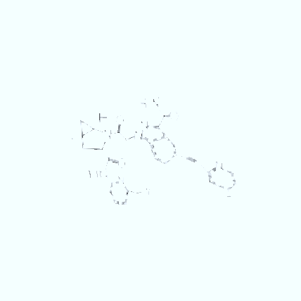 NC(=O)c1nn(CC(=O)N2[C@@H]3C[C@@H]3C[C@H]2C(=O)Nc2cccc(Br)n2)c2ccc(C#Cc3cc(F)ccn3)cc12